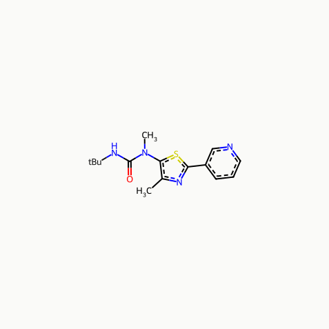 Cc1nc(-c2cccnc2)sc1N(C)C(=O)NC(C)(C)C